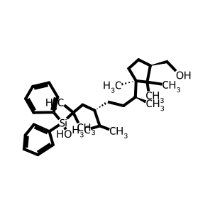 CC(C)[C@@H](CC[C@H](C)[C@@]1(C)CC[C@@H](CO)C1(C)C)CC(C)(C)[Si](O)(c1ccccc1)c1ccccc1